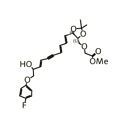 COC(=O)COC[C@@H]1OC(C)(C)O[C@@H]1C=CC=CC#CC=CC(O)COc1ccc(F)cc1